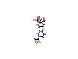 CC1(C)C[C@H](CN2CCN(C3COC3)CC2)CCN1C(=O)O